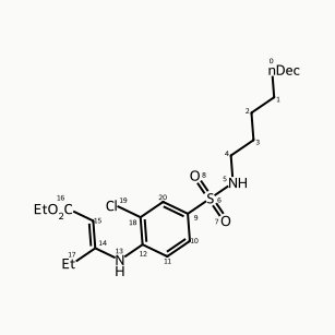 CCCCCCCCCCCCCCNS(=O)(=O)c1ccc(NC(=CC(=O)OCC)CC)c(Cl)c1